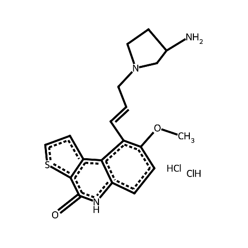 COc1ccc2[nH]c(=O)c3sccc3c2c1C=CCN1CCC(N)C1.Cl.Cl